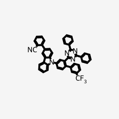 N#Cc1ccccc1-c1ccc2c(c1)c1ccccc1n2-c1ccc(-c2cccc(C(F)(F)F)c2)c(-c2nc(-c3ccccc3)nc(-c3ccccc3)n2)c1